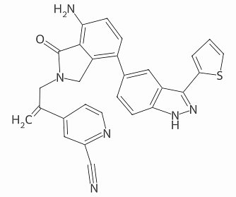 C=C(CN1Cc2c(-c3ccc4[nH]nc(-c5cccs5)c4c3)ccc(N)c2C1=O)c1ccnc(C#N)c1